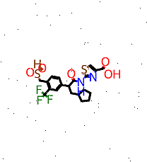 O=C(O)c1csc(NC(=O)C(CC2CCCC2)c2ccc(C[SH](=O)=O)c(C(F)(F)F)c2)n1